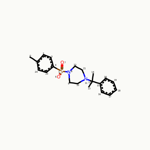 Cc1ccc(S(=O)(=O)N2CCN(C(C)(C)c3ccccc3)CC2)cc1